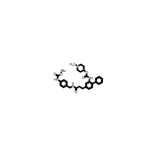 CN1CCC(OC(=O)Nc2cc(CCC(=O)NCc3ccc(NC(=O)OC(C)(C)C)cc3)ccc2-c2ccccc2)CC1